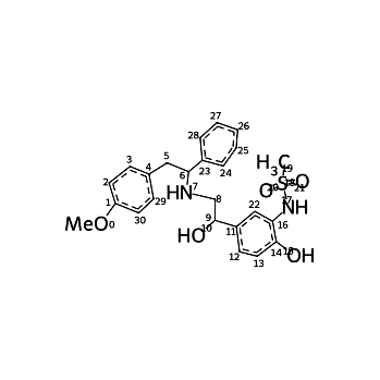 COc1ccc(CC(NCC(O)c2ccc(O)c(NS(C)(=O)=O)c2)c2ccccc2)cc1